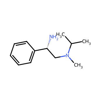 CC(C)N(C)C[C@@H](N)c1ccccc1